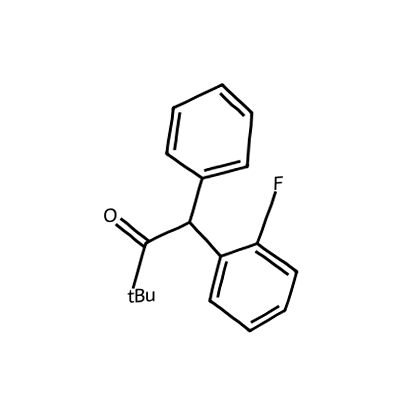 CC(C)(C)C(=O)C(c1ccccc1)c1ccccc1F